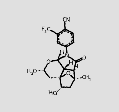 C[C@H]1C[C@]23O[C@](C)(C[C@@H]2O)[C@H]2C(=O)N(c4ccc(C#N)c(C(F)(F)F)c4)[C@@H](O1)[C@H]23